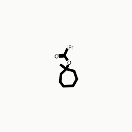 CC(C)C(=O)OC1(C)CCCCCC1